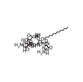 CCCCCCCCCCCCCC(=O)OC1C2OP(=O)(S)OC3COCC(O)(n4cnc5c(=O)[nH]c(N)nc54)C3OP(=O)(S)OC[C@H]2O[C@@H]1n1cnc2c(=O)[nH]c(N)nc21